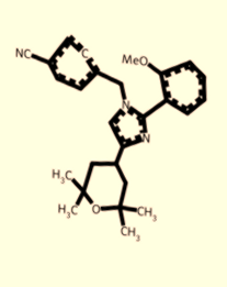 COc1ccccc1-c1nc(C2CC(C)(C)OC(C)(C)C2)cn1Cc1ccc(C#N)cc1